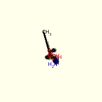 CCCCCCCCCCCCCCCCCCOC[C@H](COP(=O)(OC[C@H]1O[C@@](C#N)(c2ccc3c(N)ncnn23)[C@H](O)[C@@H]1O)Oc1ccccc1Cl)OCc1ccccc1